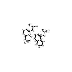 O=C([O-])Cc1cccc2ccccc12.O=C([O-])Cc1cccc2ccccc12.[Zn+2]